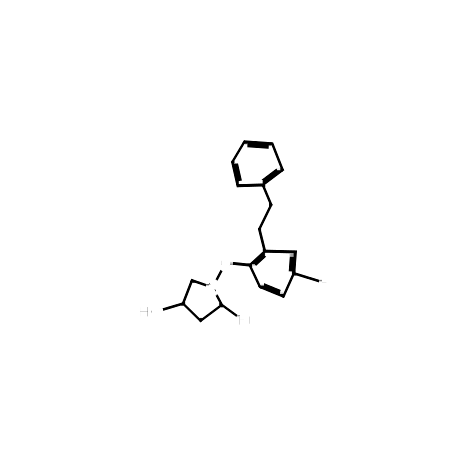 CCC1CC(O)CN1Oc1ccc(F)cc1CCc1ccccc1